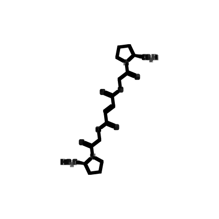 CCOC(=O)[C@@H]1CCCN1C(=O)COC(=O)/C=C/C(=O)OCC(=O)N1CCC[C@H]1C(=O)OCC